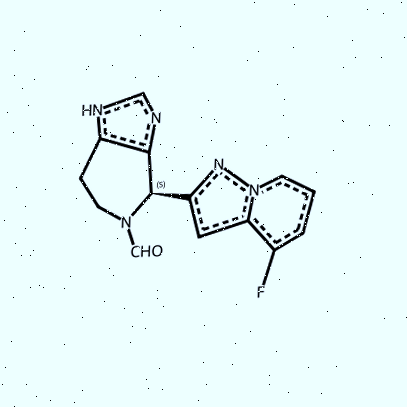 O=CN1CCc2[nH]cnc2[C@H]1c1cc2c(F)cccn2n1